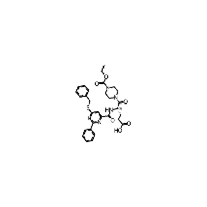 CCOC(=O)N1CCN(C(=O)[C@H](CCC(=O)O)NC(=O)c2cc(SCc3ccccc3)nc(-c3ccccc3)n2)CC1